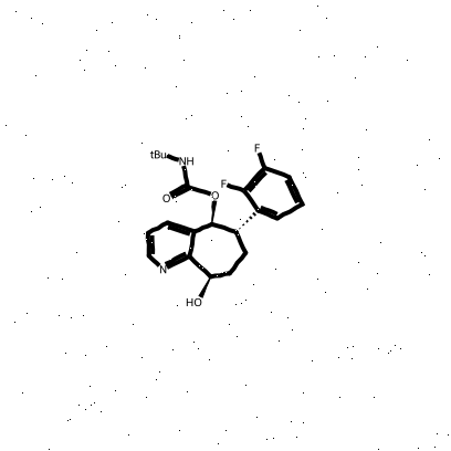 CC(C)(C)NC(=O)O[C@@H]1c2cccnc2[C@H](O)CC[C@H]1c1cccc(F)c1F